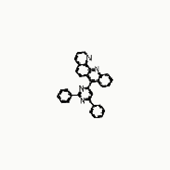 c1ccc(-c2cc(-c3c4ccccc4nc4c3ccc3cccnc34)nc(-c3ccccc3)n2)cc1